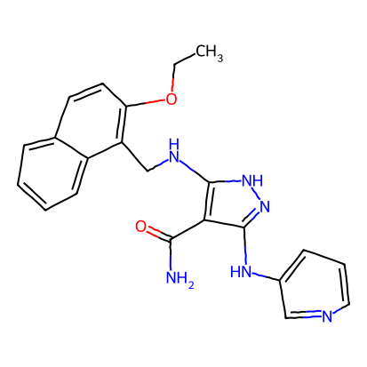 CCOc1ccc2ccccc2c1CNc1[nH]nc(Nc2cccnc2)c1C(N)=O